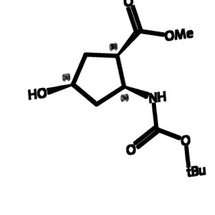 COC(=O)[C@@H]1C[C@H](O)C[C@@H]1NC(=O)OC(C)(C)C